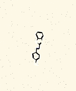 N#Cc1ccc(/C=C/c2nc3ccccc3o2)cc1